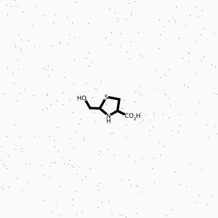 O=C(O)C1CSC(CO)N1